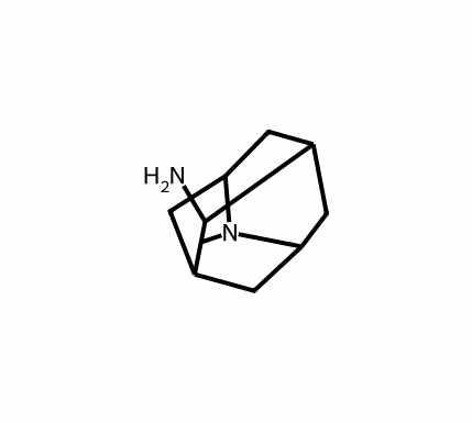 CN1C2CC3CC1CC(C2)C3N